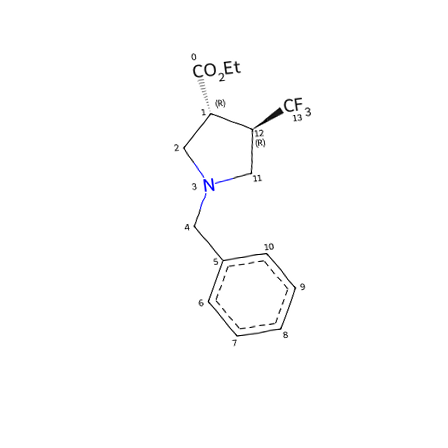 CCOC(=O)[C@H]1CN(Cc2ccccc2)C[C@@H]1C(F)(F)F